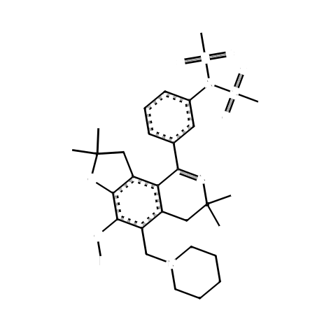 CCOc1c(CN2CCCCC2)c2c(c3c1OC(C)(C)C3)C(c1cccc(N(S(C)(=O)=O)S(C)(=O)=O)c1)=NC(C)(C)C2